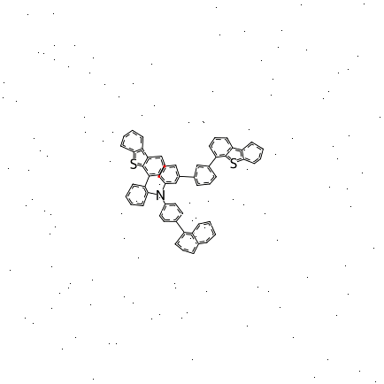 c1cc(-c2cccc(N(c3ccc(-c4cccc5ccccc45)cc3)c3ccccc3-c3cccc4c3sc3ccccc34)c2)cc(-c2cccc3c2sc2ccccc23)c1